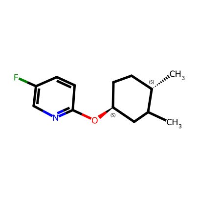 CC1C[C@@H](Oc2ccc(F)cn2)CC[C@@H]1C